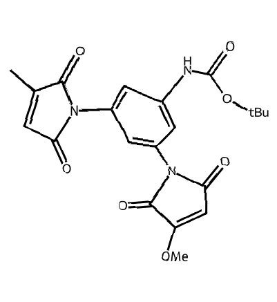 COC1=CC(=O)N(c2cc(NC(=O)OC(C)(C)C)cc(N3C(=O)C=C(C)C3=O)c2)C1=O